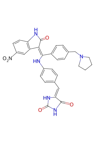 O=C1NC(=O)C(=Cc2ccc(NC(=C3C(=O)Nc4ccc([N+](=O)[O-])cc43)c3ccc(CN4CCCC4)cc3)cc2)N1